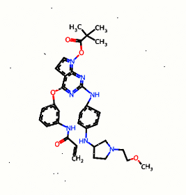 C=CC(=O)Nc1cccc(Oc2nc(Nc3ccc(NC4CCN(CCOC)C4)cc3)nc3c2ccn3OC(=O)C(C)(C)C)c1